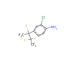 Nc1ccc(C(F)(C(F)(F)F)C(F)(F)C(F)(F)F)cc1Cl